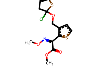 CON=C(C(=O)OC)c1sccc1COC1(Cl)CC=CS1